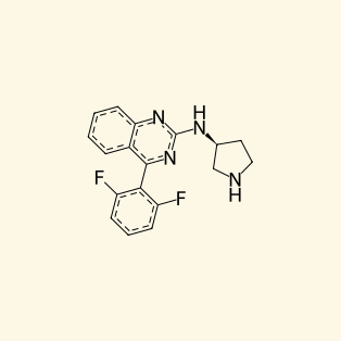 Fc1cccc(F)c1-c1nc(N[C@H]2CCNC2)nc2ccccc12